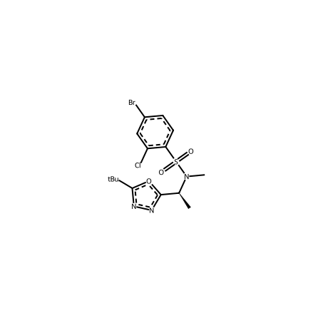 C[C@@H](c1nnc(C(C)(C)C)o1)N(C)S(=O)(=O)c1ccc(Br)cc1Cl